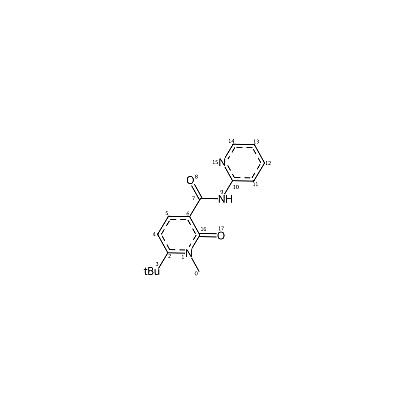 Cn1c(C(C)(C)C)ccc(C(=O)Nc2ccccn2)c1=O